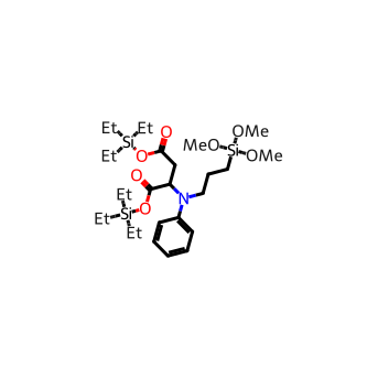 CC[Si](CC)(CC)OC(=O)CC(C(=O)O[Si](CC)(CC)CC)N(CCC[Si](OC)(OC)OC)c1ccccc1